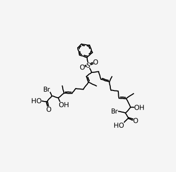 C/C(=C\CC(/C=C(\C)CC/C=C(\C)C(O)C(Br)C(=O)O)S(=O)(=O)c1ccccc1)CC/C=C(\C)C(O)C(Br)C(=O)O